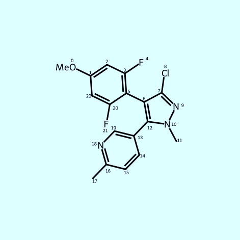 COc1cc(F)c(-c2c(Cl)nn(C)c2-c2ccc(C)nc2)c(F)c1